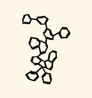 c1ccc(-c2cc(-c3cccc(-c4cccnc4)c3)nc(-c3ccc(-c4cccc5c4-c4c(ccc6ccccc46)C5(c4ccccc4)c4ccccc4)c4ccccc34)n2)cc1